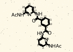 CC(=O)Nc1cccc(NC(=O)c2cccc(C(=O)Nc3cccc(NC(C)=O)n3)c2)n1